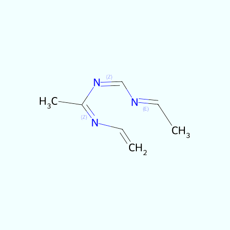 C=C\N=C(C)/N=C\N=C\C